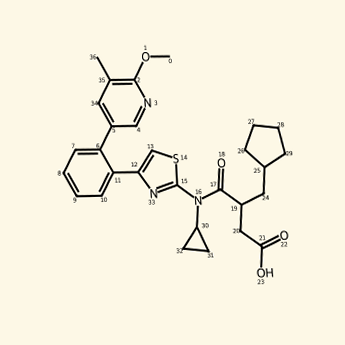 COc1ncc(-c2ccccc2-c2csc(N(C(=O)C(CC(=O)O)CC3CCCC3)C3CC3)n2)cc1C